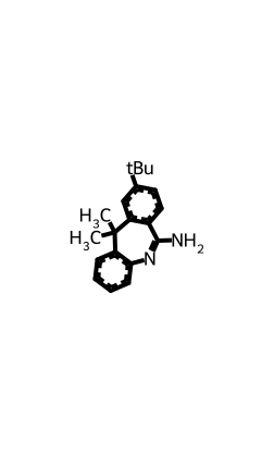 CC(C)(C)c1ccc2c(c1)C(C)(C)c1ccccc1N=C2N